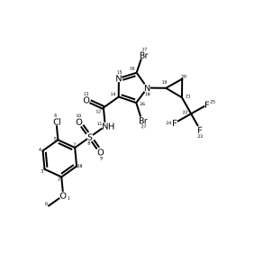 COc1ccc(Cl)c(S(=O)(=O)NC(=O)c2nc(Br)n(C3CC3C(F)(F)F)c2Br)c1